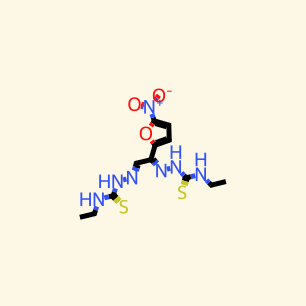 CCNC(=S)N/N=C(/C=N/NC(=S)NCC)c1ccc([N+](=O)[O-])o1